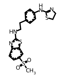 CS(=O)(=O)c1ccc2nc(NCCc3ccc(NC4=NCCS4)cc3)sc2c1